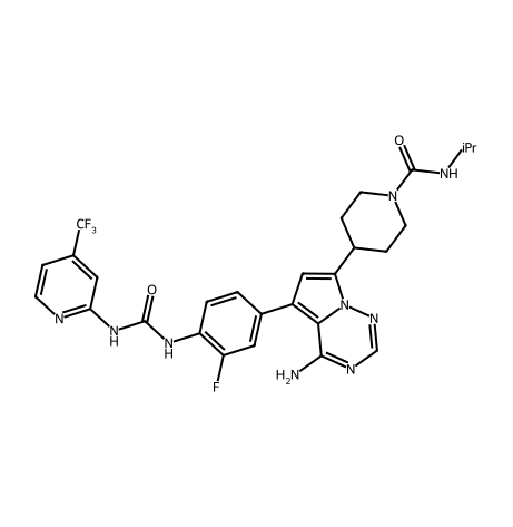 CC(C)NC(=O)N1CCC(c2cc(-c3ccc(NC(=O)Nc4cc(C(F)(F)F)ccn4)c(F)c3)c3c(N)ncnn23)CC1